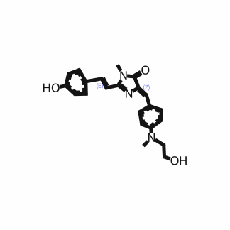 CN1C(=O)/C(=C/c2ccc(N(C)CCO)cc2)N=C1/C=C/c1ccc(O)cc1